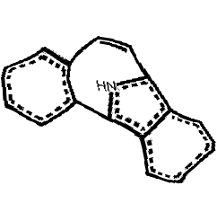 C1=Cc2[nH]c(c3ccccc23)-c2ccccc21